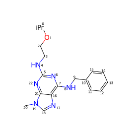 CC(C)OCCNc1nc(NCc2ccccc2)c2ncn(C)c2n1